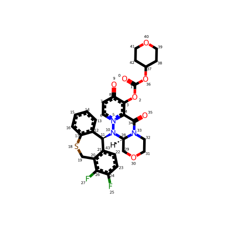 O=C(Oc1c2n(ccc1=O)N([C@@H]1c3ccccc3SCc3c1ccc(F)c3F)[C@@H]1COCCN1C2=O)OC1CCOCC1